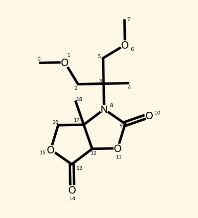 COCC(C)(COC)N1C(=O)OC2C(=O)OCC21C